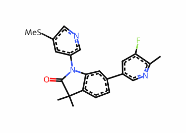 CSc1cncc(N2C(=O)C(C)(C)c3ccc(-c4cnc(C)c(F)c4)cc32)c1